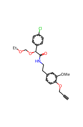 C#CCOc1ccc(CCNC(=O)[C@@H](OCOCC)c2ccc(Cl)cc2)cc1OC